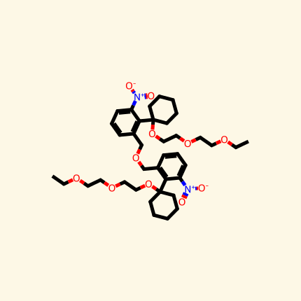 CCOCCOCCOC1(c2c(COCc3cccc([N+](=O)[O-])c3C3(OCCOCCOCC)CCCCC3)cccc2[N+](=O)[O-])CCCCC1